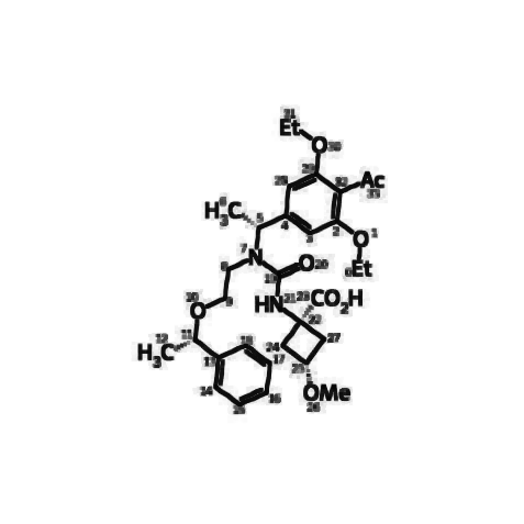 CCOc1cc([C@@H](C)N(CCO[C@@H](C)c2ccccc2)C(=O)N[C@]2(C(=O)O)C[C@@H](OC)C2)cc(OCC)c1C(C)=O